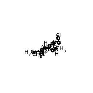 CNC(=O)c1cccc(Oc2cc(N3CCN(Cc4ccccc4-c4ccc(Cl)cc4)CC3)ccc2C(=O)NS(=O)(=O)c2ccc(NCCCN(C)C)c([N+](=O)[O-])c2)c1